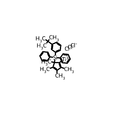 CC1=C(C)C(C)([Si](c2ccccc2)(c2ccccc2)c2cccc(C(C)(C)C)c2)[C]([Ti+3])=C1C.[Cl-].[Cl-].[Cl-]